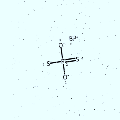 [Bi+3].[O-]P([O-])(=S)[S-]